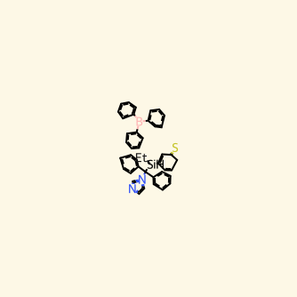 CC[SiH](C1=CC(=S)CC=C1)C(c1ccccc1)(c1ccccc1)n1ccnc1.c1ccc(B(c2ccccc2)c2ccccc2)cc1